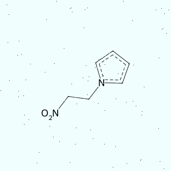 O=[N+]([O-])CCn1cccc1